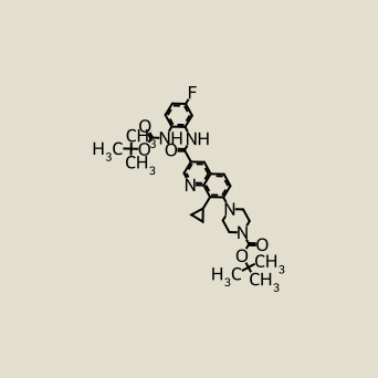 CC(C)(C)OC(=O)Nc1ccc(F)cc1NC(=O)c1cnc2c(C3CC3)c(N3CCN(C(=O)OC(C)(C)C)CC3)ccc2c1